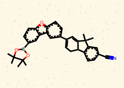 CC1(C)C2=CC(c3ccc4oc5ccc(B6OC(C)(C)C(C)(C)O6)cc5c4c3)=CCC2c2ccc(C#N)cc21